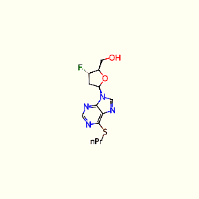 CCCSc1ncnc2c1ncn2[C@H]1C[C@H](F)[C@@H](CO)O1